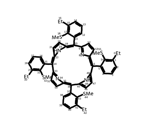 CCc1cccc(-c2c3nc(c(-c4cccc(CC)c4SC)c4ccc([nH]4)c(-c4cccc(CC)c4SC)c4nc(c(-c5cccc(CC)c5SC)c5ccc2[nH]5)C=C4)C=C3)c1SC